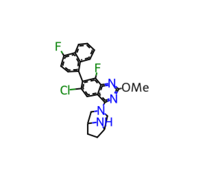 COc1nc(N2CC3CCC(C2)N3)c2cc(Cl)c(-c3ccc(F)c4ccccc34)c(F)c2n1